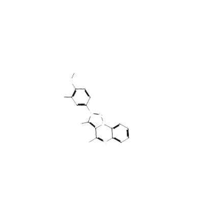 COc1ccc(N2NN3C(=C2O)C(C)=Nc2ccccc23)cc1F.O